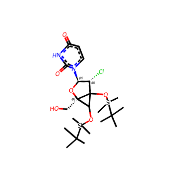 CC(C)(C)[Si](C)(C)OC1C2(O[Si](C)(C)C(C)(C)C)[C@@H](Cl)[C@H](n3ccc(=O)[nH]c3=O)O[C@]12CO